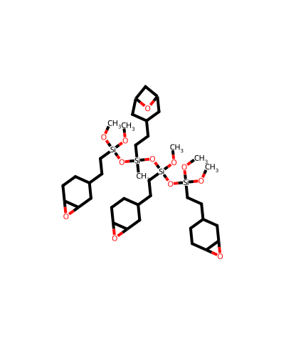 CO[Si](CCC1CCC2OC2C1)(OC)O[Si](C)(CCC1CC2CC(C1)O2)O[Si](CCC1CCC2OC2C1)(OC)O[Si](CCC1CCC2OC2C1)(OC)OC